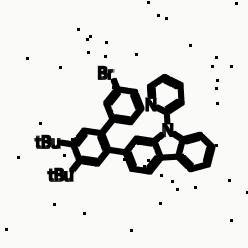 CC(C)(C)c1cc(-c2cccc(Br)c2)c(-c2ccc3c4ccccc4n(-c4ccccn4)c3c2)cc1C(C)(C)C